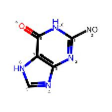 O=Nc1nc2nc[nH]c2c(=O)[nH]1